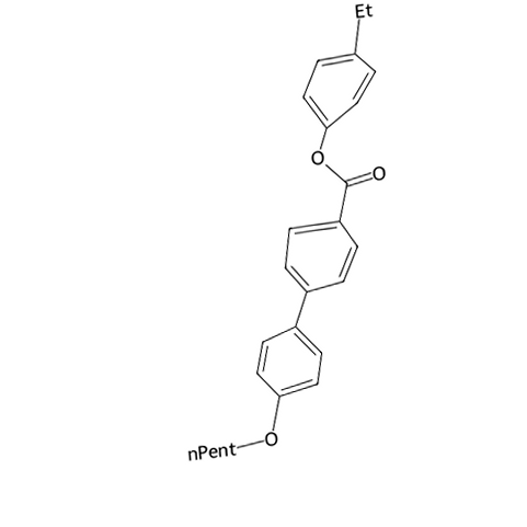 CCCCCOc1ccc(-c2ccc(C(=O)Oc3ccc(CC)cc3)cc2)cc1